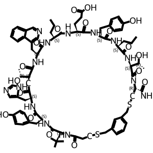 CCC[C@@H]1NC(=O)[C@H](Cc2cncc3ccccc23)NC(=O)[C@H]([C@@H](C)O)CC(=O)[C@H](Cc2cnc[nH]2)NC(=O)[C@H](Cc2ccc(O)cc2)NC(=O)[C@H](C(C)(C)C)NC(=O)CCSCc2cccc(c2)CSC[C@@H](C(N)=O)NC(=O)[C@H]([C@@H](C)O)NC(=O)[C@H](CCC)NC(=O)[C@H](Cc2ccc(O)cc2)NC(=O)[C@H](CCC(=O)O)NC1=O